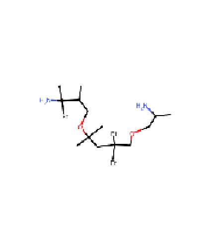 CCC(CC)(COCC(C)N)CC(C)(C)OCC(C)C(C)(N)CC